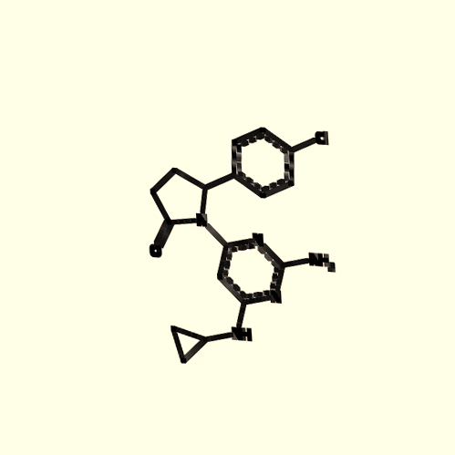 Nc1nc(NC2CC2)cc(N2C(=O)CCC2c2ccc(Cl)cc2)n1